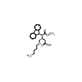 CCCCCOC[C@H](CC(=O)O)N(C(=O)OC)C1c2ccccc2-c2ccccc21